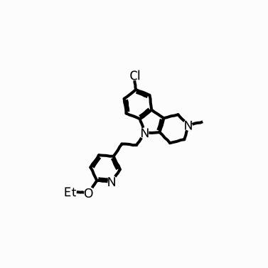 CCOc1ccc(CCn2c3c(c4cc(Cl)ccc42)CN(C)CC3)cn1